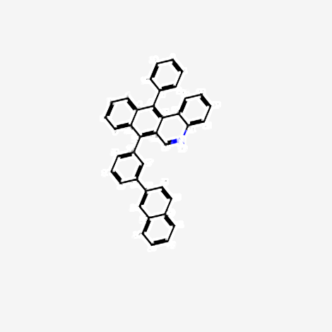 c1ccc(-c2c3ccccc3c(-c3cccc(-c4ccc5ccccc5c4)c3)c3cnc4ccccc4c23)cc1